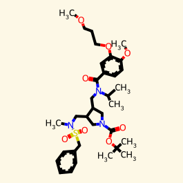 COCCCOc1cc(C(=O)N(CC2CN(C(=O)OC(C)(C)C)CC2CN(C)S(=O)(=O)Cc2ccccc2)C(C)C)ccc1OC